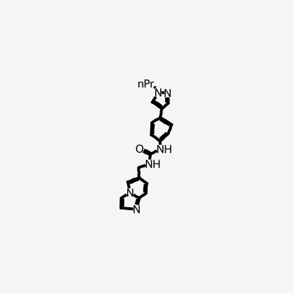 CCCn1cc(-c2ccc(NC(=O)NCc3ccc4nccn4c3)cc2)cn1